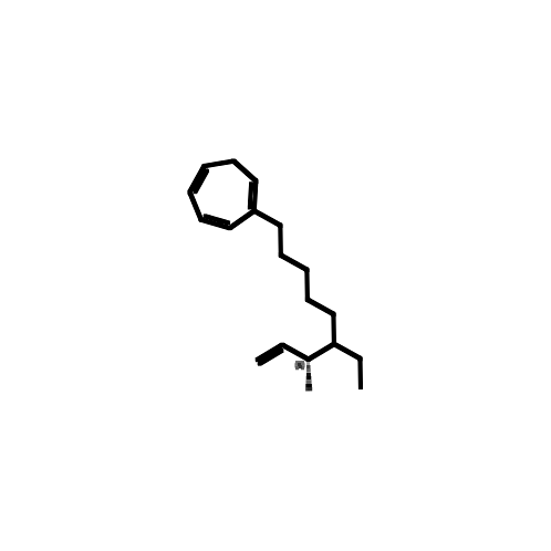 C=C[C@@H](C)C(CC)CCCCCC1=CCC=CC=C1